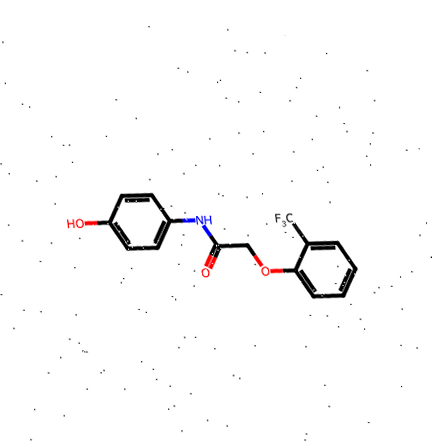 O=C(COc1ccccc1C(F)(F)F)Nc1ccc(O)cc1